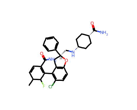 CC1C=CC(C(N)=O)=C(c2c(Cl)ccc3c2C[C@@](CN[C@H]2CC[C@@H](C(N)=O)CC2)(c2ccccc2)O3)C1F